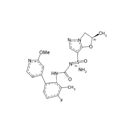 COc1cc(-c2ccc(F)c(C)c2NC(=O)N=[S@](N)(=O)c2cnn3c2O[C@H](C)C3)ccn1